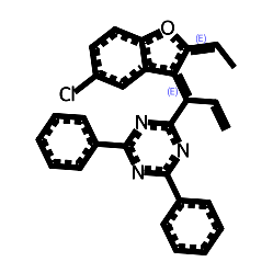 C=C/C(c1nc(-c2ccccc2)nc(-c2ccccc2)n1)=c1\c(=C/C)oc2ccc(Cl)cc12